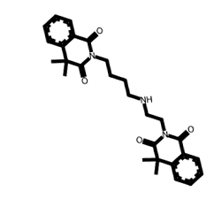 CC1(C)C(=O)N(CCCCNCCN2C(=O)c3ccccc3C(C)(C)C2=O)C(=O)c2ccccc21